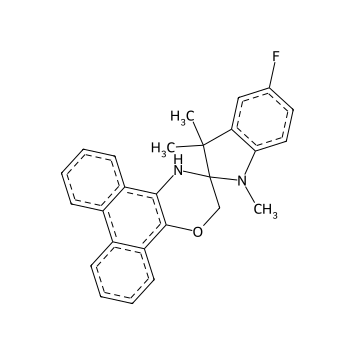 CN1c2ccc(F)cc2C(C)(C)C12COc1c(c3ccccc3c3ccccc13)N2